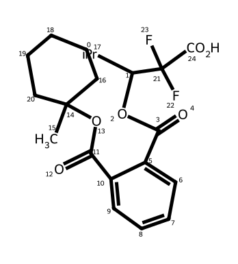 CC(C)C(OC(=O)c1ccccc1C(=O)OC1(C)CCCCC1)C(F)(F)C(=O)O